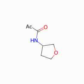 CC(=O)C(=O)NC1CCOC1